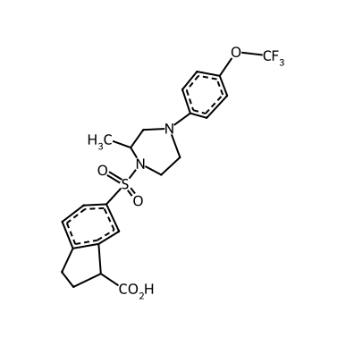 CC1CN(c2ccc(OC(F)(F)F)cc2)CCN1S(=O)(=O)c1ccc2c(c1)C(C(=O)O)CC2